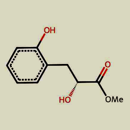 COC(=O)[C@H](O)Cc1ccccc1O